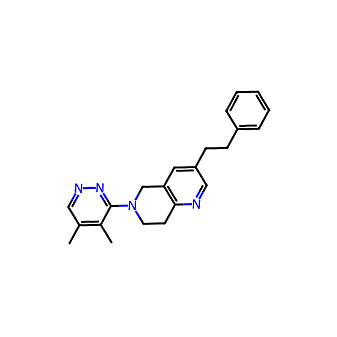 Cc1cnnc(N2CCc3ncc(CCc4ccccc4)cc3C2)c1C